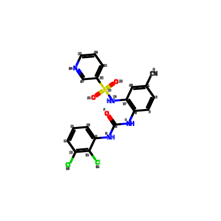 N#Cc1ccc(NC(=O)Nc2cccc(Cl)c2Cl)c(NS(=O)(=O)c2cccnc2)c1